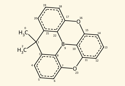 CC1(C)c2cccc3c2B2c4c(cccc4Oc4cccc1c42)O3